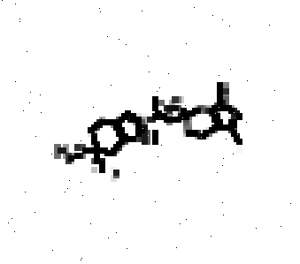 CC1(C)CCc2c[n+](CCC3(C)CCc4c(I)n[nH]c4C3)[nH]c2C1